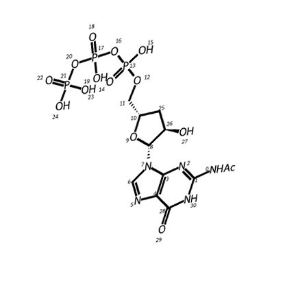 CC(=O)Nc1nc2c(ncn2[C@@H]2O[C@H](COP(=O)(O)OP(=O)(O)OP(=O)(O)O)C[C@H]2O)c(=O)[nH]1